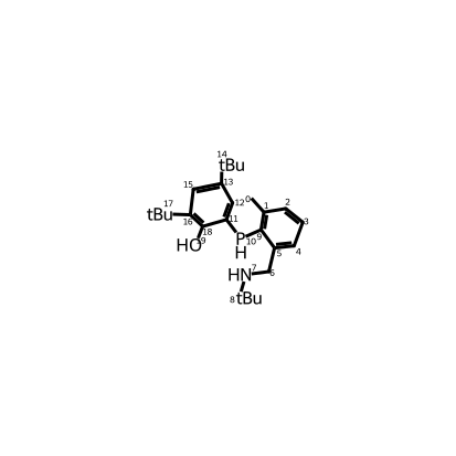 Cc1cccc(CNC(C)(C)C)c1Pc1cc(C(C)(C)C)cc(C(C)(C)C)c1O